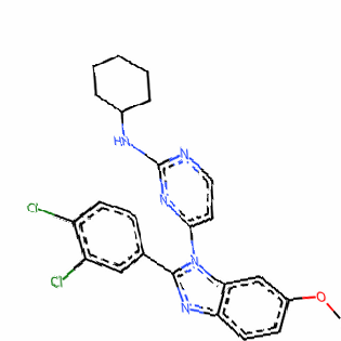 COc1ccc2nc(-c3ccc(Cl)c(Cl)c3)n(-c3ccnc(NC4CCCCC4)n3)c2c1